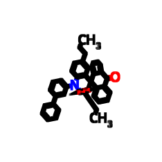 CCCc1ccc2c(c1)C1(c3ccccc3C(=O)c3ccccc31)c1cc(CC)ccc1N2c1cccc(-c2ccccc2)c1